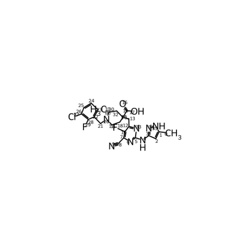 Cc1cc(Nc2nc(C#N)c(F)c(C[C@@]3(C(=O)O)CCN(Cc4cccc(Cl)c4F)[C@H](C)C3)n2)n[nH]1